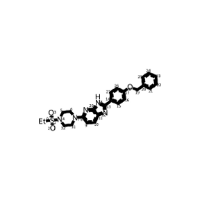 CCS(=O)(=O)N1CCN(c2ccc3nc(-c4ccc(OCc5ccccc5)cc4)[nH]c3n2)CC1